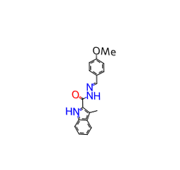 COc1ccc(C=NNC(=O)c2[nH]c3ccccc3c2C)cc1